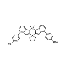 CC(C)(C)c1ccc(-c2cccc3c2C=C2[CH]3[Hf]([CH3])([CH3])[CH]3C(=Cc4c(-c5ccc(C(C)(C)C)cc5)cccc43)C23CCCC3)cc1